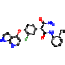 N#Cc1ccccc1NC(=O)C(C(N)=O)c1ccc(Oc2ccnc3[nH]ccc23)c(F)c1